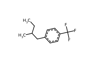 CCC(C)Cc1ccc(C(F)(F)F)cc1